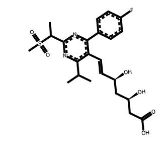 CC(C)c1nc(C(C)S(C)(=O)=O)nc(-c2ccc(F)cc2)c1/C=C/[C@@H](O)C[C@@H](O)CC(=O)O